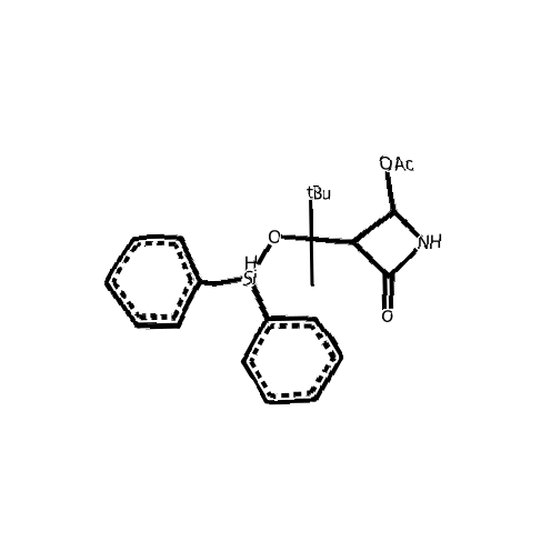 CC(=O)OC1NC(=O)C1C(C)(O[SiH](c1ccccc1)c1ccccc1)C(C)(C)C